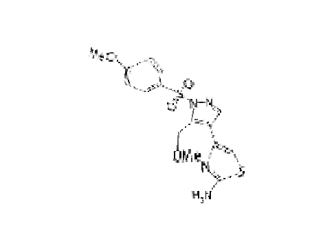 COCc1c(-c2csc(N)n2)cnn1S(=O)(=O)c1ccc(OC)cc1